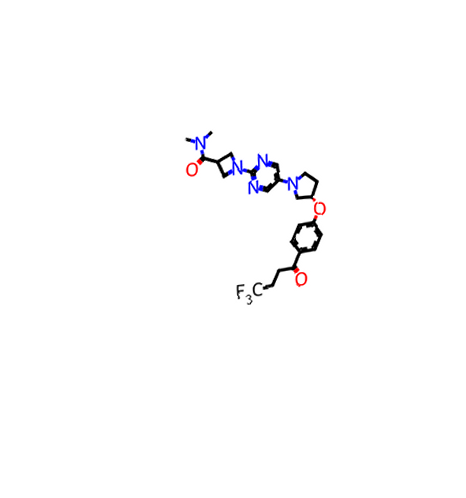 CN(C)C(=O)C1CN(c2ncc(N3CC[C@@H](Oc4ccc(C(=O)CCC(F)(F)F)cc4)C3)cn2)C1